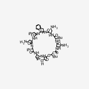 CCC(C)C1CC(=O)NC(CCN)C(=O)NC(C(C)CC)C(=O)NC(CCN)C(=O)NC(Cc2ccccc2)C(=O)NC(CC(C)C)C(=O)NC(CCN)C(=O)NC(C(C)C)C(=O)NC(CC(C)C)C(=O)NC(C(C)O)C(=O)O1